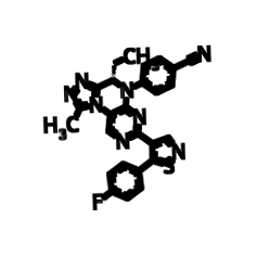 CC[C@H]1c2nnc(C)n2-c2cnc(-c3cnsc3-c3ccc(F)cc3)nc2N1c1ccc(C#N)cc1